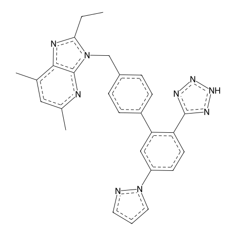 CCc1nc2c(C)cc(C)nc2n1Cc1ccc(-c2cc(-n3cccn3)ccc2-c2nn[nH]n2)cc1